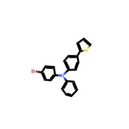 Brc1ccc(N(c2ccccc2)c2ccc(-c3cccs3)cc2)cc1